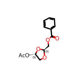 CC(=O)O[C@H]1CO[C@H](COC(=O)c2ccccc2)O1